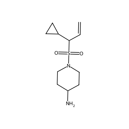 C=CC(C1CC1)S(=O)(=O)N1CCC(N)CC1